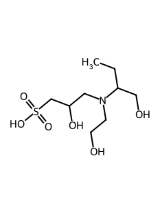 CCC(CO)N(CCO)CC(O)CS(=O)(=O)O